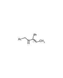 C/C=C(/NCC(C)=O)C(C)C